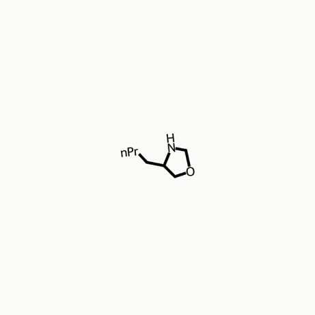 CCCCC1COCN1